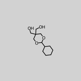 OCC1(CO)COC(C2CCCCC2)OC1